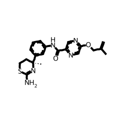 C=C(C)COc1cnc(C(=O)Nc2cccc([C@]3(C)CCSC(N)=N3)c2)cn1